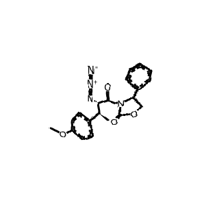 COc1ccc([C@H](C)[C@H](N=[N+]=[N-])C(=O)N2C(=O)OCC2c2ccccc2)cc1